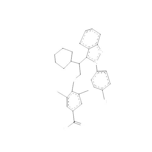 Cc1cc(C(=O)O)cc(C)c1OCC(c1c2ccccc2nn1-c1ccc(Cl)cc1)C1CCCCC1